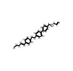 C=CCOCc1ccc(-c2ccc(CCc3ccc(/C=C/CCC)cc3)cc2)cc1